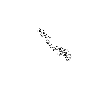 CC1(C)C(NC(=O)c2ccc(N3CCC(CN4CCN(c5cc6c(cc5F)CN(C5CCC(=O)NC5=O)C6=O)CC4)CC3)c(F)c2)C(C)(C)C1Oc1ccc(C#N)c2ncccc12